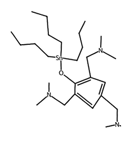 CCC[CH2][Sn]([CH2]CCC)([CH2]CCC)[O]c1c(CN(C)C)cc(CN(C)C)cc1CN(C)C